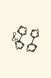 C=O.c1cc(-c2ccsc2)cs1.c1cc(-c2ccsc2)cs1